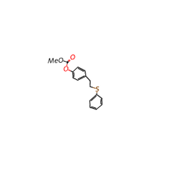 COC(=O)Oc1ccc(CCSc2ccccc2)cc1